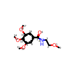 COCCNC(=O)c1cc(OC)c(OC)c(OC)c1